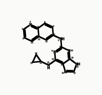 c1cnc2ccc(Nc3nc(NC4CC4)c4nc[nH]c4n3)cc2c1